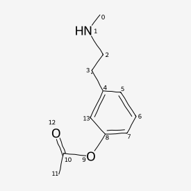 CNC[CH]c1cccc(OC(C)=O)c1